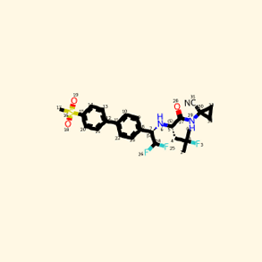 CC(C)(F)C[C@H](N[C@@H](c1ccc(-c2ccc(S(C)(=O)=O)cc2)cc1)C(F)F)C(=O)NC1(C#N)CC1